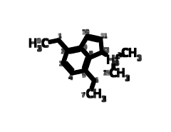 CCc1ccc(CC)c2c1C=C[CH]2[Hf]([CH3])[CH3]